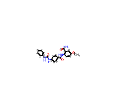 COc1ccc(NC(=O)c2ccc(NC(=O)Nc3ccccc3)cc2)c(C(N)=O)c1